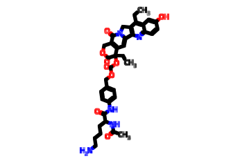 CCc1c2c(nc3ccc(O)cc13)-c1cc3c(c(=O)n1C2)COC(=O)C3(CC)OC(=O)OCc1ccc(NC(=O)C(CCCCN)NC(C)=O)cc1